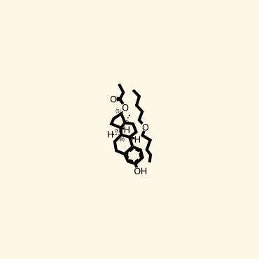 CCC(=O)O[C@H]1CC[C@H]2[C@@H]3CCc4cc(O)ccc4[C@H]3CC[C@]12C.CCCCCOCCCCC